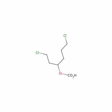 O=C(O)OC(CCCl)CCCCl